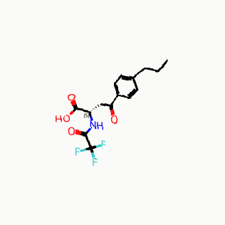 CCCc1ccc(C(=O)C[C@H](NC(=O)C(F)(F)F)C(=O)O)cc1